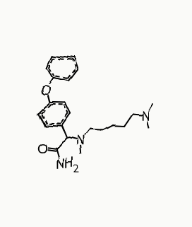 CN(C)CCCCCN(C)C(C(N)=O)c1ccc(Oc2ccccc2)cc1